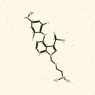 C[SiH](C)CCOCn1cc(C(=O)O)c2c(Oc3c(F)cc(NO)cc3F)ccnc21